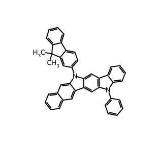 CC1(C)c2ccccc2-c2ccc(-n3c4cc5ccccc5cc4c4cc5c(cc43)c3ccccc3n5-c3ccccc3)cc21